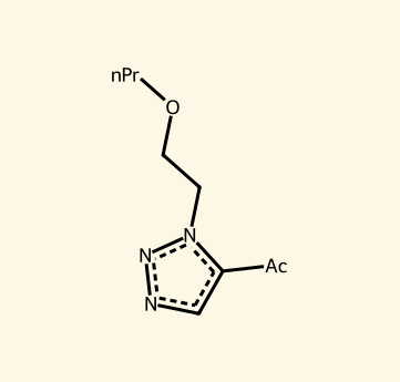 CCCOCCn1nncc1C(C)=O